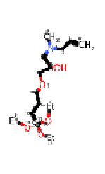 C=CCN(C)CC(O)COCCC[Si](OCC)(OCC)OCC